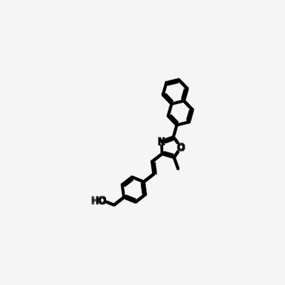 Cc1oc(-c2ccc3ccccc3c2)nc1/C=C/c1ccc(CO)cc1